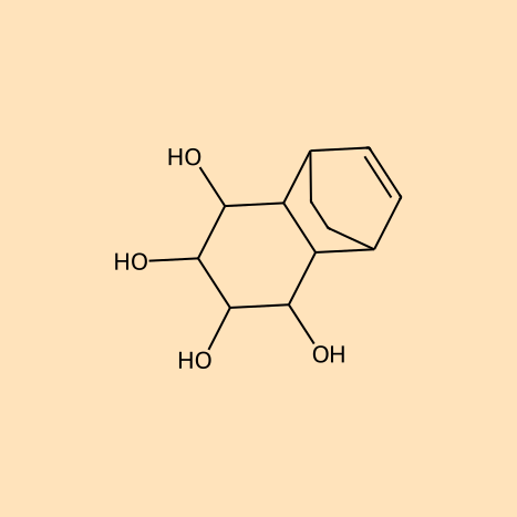 OC1C(O)C(O)C2C3C=CC(CC3)C2C1O